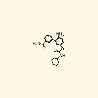 NC(=O)c1cccc(-c2cc(OC(=O)NC3CCCCC3)ccc2N)c1